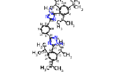 CC(C)c1cc(C(C)C)c(-c2nc(-c3cccc(-c4n[nH]c(-c5c(C(C)C)cc(C(C)C)cc5C(C)C)n4)c3)n[nH]2)c(C(C)C)c1